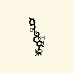 Cc1ccc(CC(=O)N2CC[C@]3(CCc4cc(-c5nnn(C)n5)c(C)nc4N3)C2)cc1